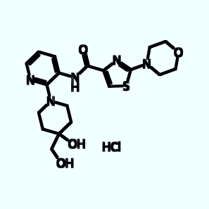 Cl.O=C(Nc1cccnc1N1CCC(O)(CO)CC1)c1csc(N2CCOCC2)n1